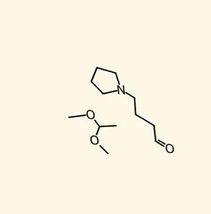 COC(C)OC.O=CCCCN1CCCC1